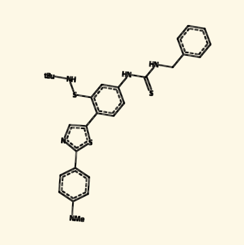 CNc1ccc(-c2ncc(-c3ccc(NC(=S)NCc4ccccc4)cc3SNC(C)(C)C)s2)cc1